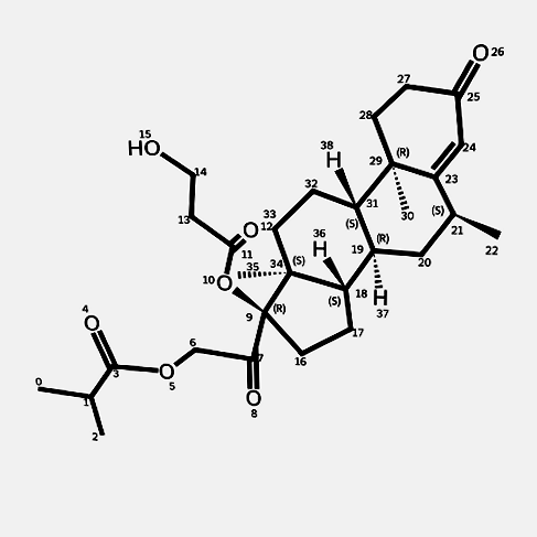 CC(C)C(=O)OCC(=O)[C@@]1(OC(=O)CCO)CC[C@H]2[C@@H]3C[C@H](C)C4=CC(=O)CC[C@]4(C)[C@H]3CC[C@@]21C